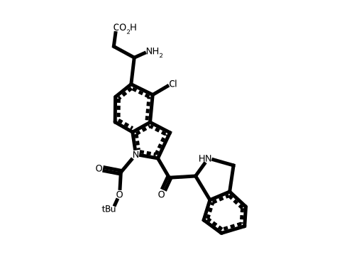 CC(C)(C)OC(=O)n1c(C(=O)C2NCc3ccccc32)cc2c(Cl)c(C(N)CC(=O)O)ccc21